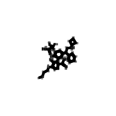 COCCOc1ccc(C(N)=O)c(-c2cc(C(CNC3CCC3)c3ccccc3)ccc2Cl)c1F.O=C(O)C(F)(F)F